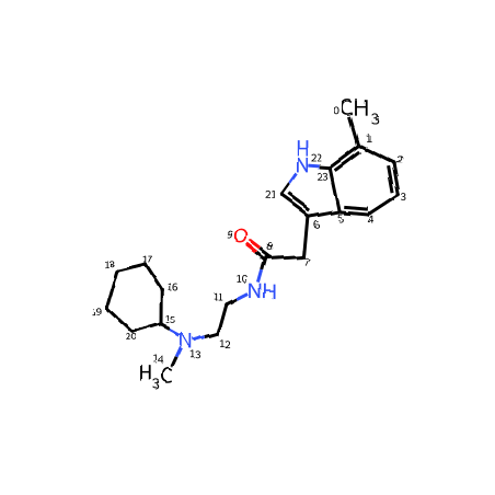 Cc1cccc2c(CC(=O)NCCN(C)C3CCCCC3)c[nH]c12